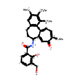 COc1cc2c(c(OC)c1OC)-c1ccc(SC)c(=O)cc1[C@@H](NC(=O)c1cccc(CBr)c1Br)CC2